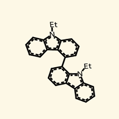 CCn1c2ccccc2c2c(-c3cccc4c5ccccc5n(CC)c34)cccc21